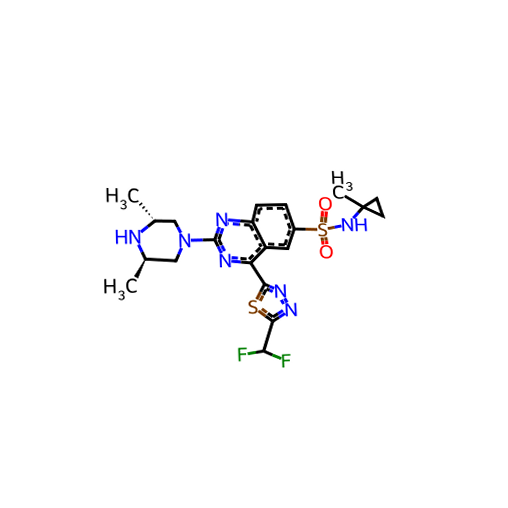 C[C@@H]1CN(c2nc(-c3nnc(C(F)F)s3)c3cc(S(=O)(=O)NC4(C)CC4)ccc3n2)C[C@@H](C)N1